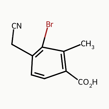 Cc1c(C(=O)O)ccc(CC#N)c1Br